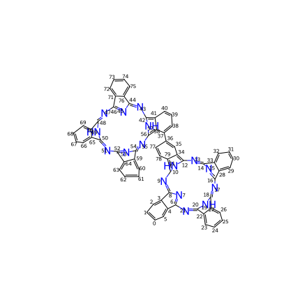 c1ccc2c(c1)-c1nc-2nc2[nH]c(nc3nc(nc4[nH]c(n1)c1ccccc41)-c1ccccc1-3)c1cc(-c3cccc4c5nc6nc(nc7[nH]c(nc8nc(nc([nH]5)c34)-c3ccccc3-8)c3ccccc73)-c3ccccc3-6)ccc21